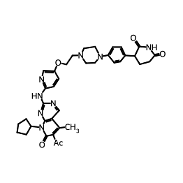 CC(=O)c1c(C)c2cnc(Nc3ccc(OCCN4CCN(c5ccc(C6CCC(=O)NC6=O)cc5)CC4)cn3)nc2n(C2CCCC2)c1=O